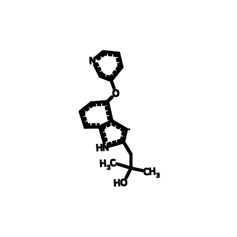 CC(C)(O)Cc1[c]c2c(Oc3cccnc3)cccc2[nH]1